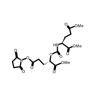 COC(=O)CC[C@H](NC(=O)O[C@@H](CCC(=O)ON1C(=O)CCC1=O)C(=O)OC)C(=O)OC